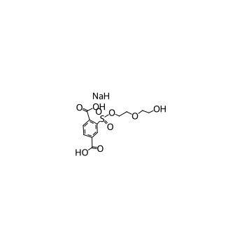 O=C(O)c1ccc(C(=O)O)c(S(=O)(=O)OCCOCCO)c1.[NaH]